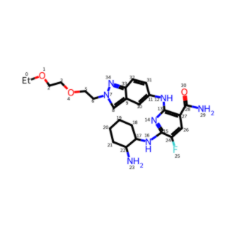 CCOCCOCCn1cc2cc(Nc3nc(NC4CCCCC4N)c(F)cc3C(N)=O)ccc2n1